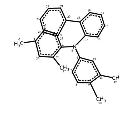 Cc1ccc(N(c2ccc(C)c(C)c2)c2ccccc2-c2ccccc2)c(C)c1